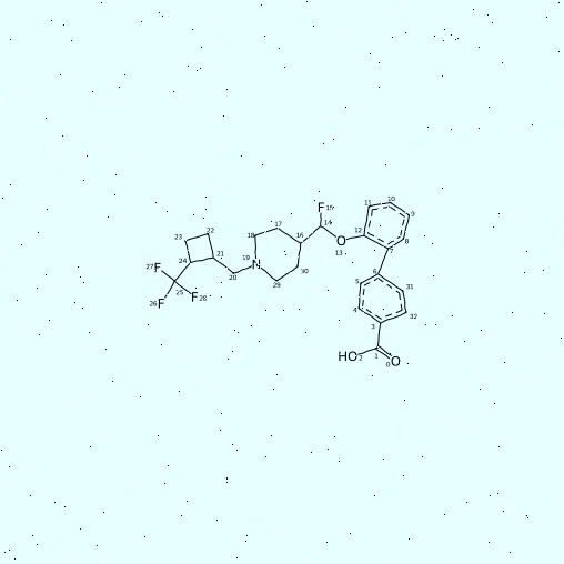 O=C(O)c1ccc(-c2ccccc2OC(F)C2CCN(CC3CCC3C(F)(F)F)CC2)cc1